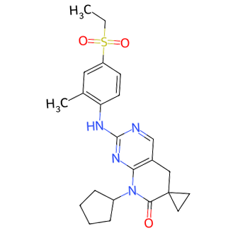 CCS(=O)(=O)c1ccc(Nc2ncc3c(n2)N(C2CCCC2)C(=O)C2(CC2)C3)c(C)c1